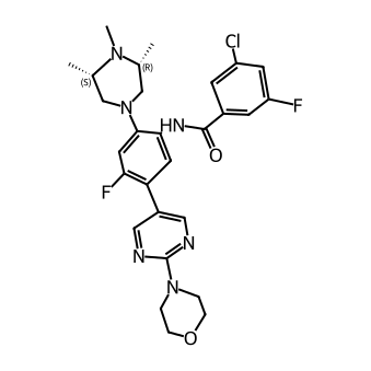 C[C@@H]1CN(c2cc(F)c(-c3cnc(N4CCOCC4)nc3)cc2NC(=O)c2cc(F)cc(Cl)c2)C[C@H](C)N1C